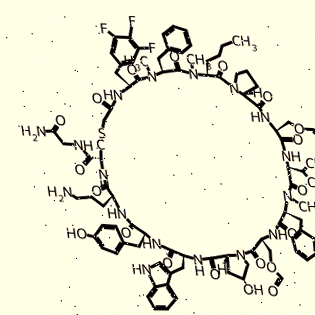 CCCC[C@H]1C(=O)N2CCC[C@@H]2C(=O)N[C@@H](COC=O)C(=O)N[C@@H](C(C)C)C(=O)N(C)[C@@H](Cc2ccccc2)C(=O)N[C@@H](COC=O)C(=O)N2C[C@H](O)C[C@@H]2C(=O)N[C@@H](Cc2c[nH]c3ccccc23)C(=O)N[C@@H](Cc2ccc(O)cc2)C(=O)N[C@@H](CCCN)C(=O)N[C@H](C(=O)NCC(N)=O)CSCC(=O)N[C@@H](Cc2cc(F)c(F)c(F)c2)C(=O)N(C)[C@@H](Cc2ccccc2)C(=O)N1C